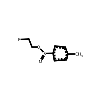 Cc1ccc(S(=O)OCCF)cc1